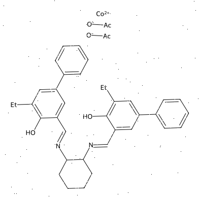 CC(=O)[O-].CC(=O)[O-].CCc1cc(-c2ccccc2)cc(C=NC2CCCCC2N=Cc2cc(-c3ccccc3)cc(CC)c2O)c1O.[Co+2]